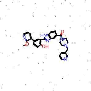 COc1ncccc1-c1ccc(O)c(-c2nc3cc(C(=O)N4CCN(Cc5cccnc5)CC4)ccc3[nH]2)c1